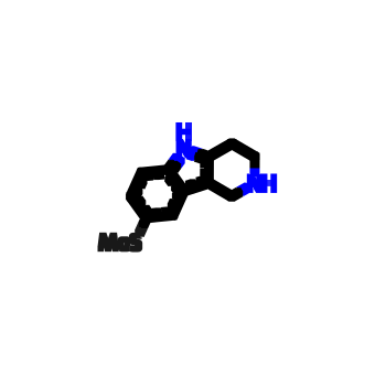 CSc1ccc2[nH]c3c(c2c1)CNCC3